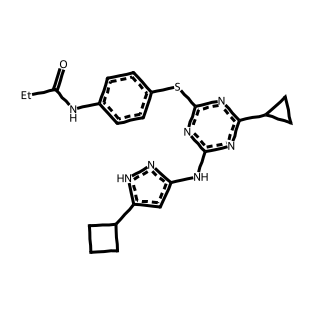 CCC(=O)Nc1ccc(Sc2nc(Nc3cc(C4CCC4)[nH]n3)nc(C3CC3)n2)cc1